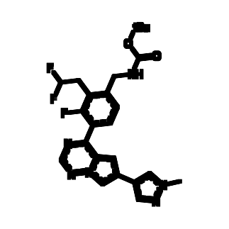 Cn1cc(-c2cc3c(-c4ccc(CNC(=O)OC(C)(C)C)c(CC(F)F)c4F)ncnn3c2)cn1